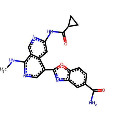 CNc1ncc(-c2nc3cc(C(N)=O)ccc3o2)c2cc(NC(=O)C3CC3)ncc12